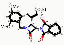 CCOC(=O)C=C(C)[C@@H]1[C@H](N2C(=O)c3ccccc3C2=O)C(=O)N1Cc1ccc(OC)cc1OC